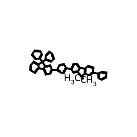 CC1(C)c2cc(-c3ccccc3)ccc2-c2ccc(-c3ccc(-c4ccc5c(c4)C(c4ccccc4)(c4ccccc4)c4ccccc4-5)cc3)cc21